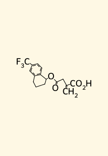 C=C(CC(=O)OC1CCCc2cc(C(F)(F)F)ccc21)C(=O)O